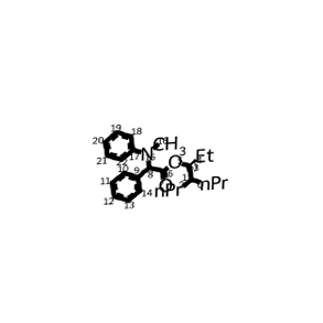 CCCC(CCC)[C@H](CC)OC(=O)C(c1ccccc1)N(C)c1ccccc1